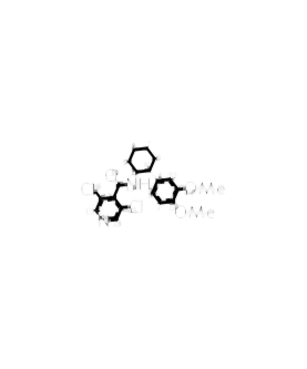 COc1ccc([C@H]2CCCC[C@H]2NC(=O)c2c(Cl)cncc2Cl)cc1OC